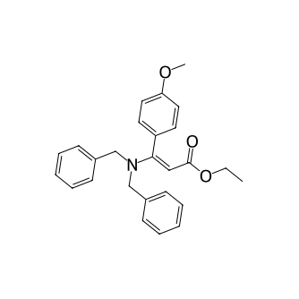 CCOC(=O)/C=C(\c1ccc(OC)cc1)N(Cc1ccccc1)Cc1ccccc1